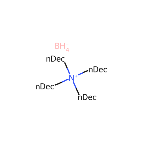 CCCCCCCCCC[N+](CCCCCCCCCC)(CCCCCCCCCC)CCCCCCCCCC.[BH4-]